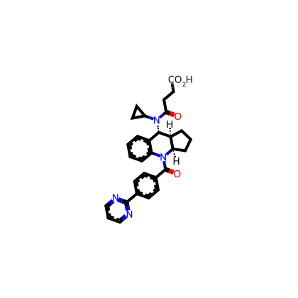 O=C(O)CCC(=O)N(C1CC1)[C@H]1c2ccccc2N(C(=O)c2ccc(-c3ncccn3)cc2)[C@@H]2CCC[C@@H]21